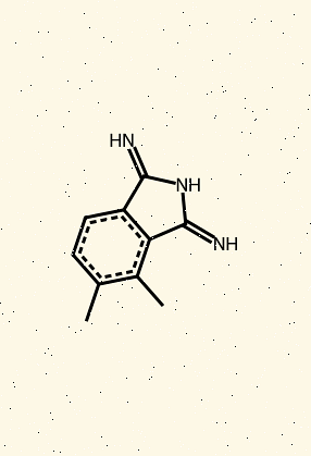 Cc1ccc2c(c1C)C(=N)NC2=N